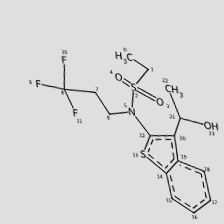 CCS(=O)(=O)N(CCC(F)(F)F)c1sc2ccccc2c1C(C)O